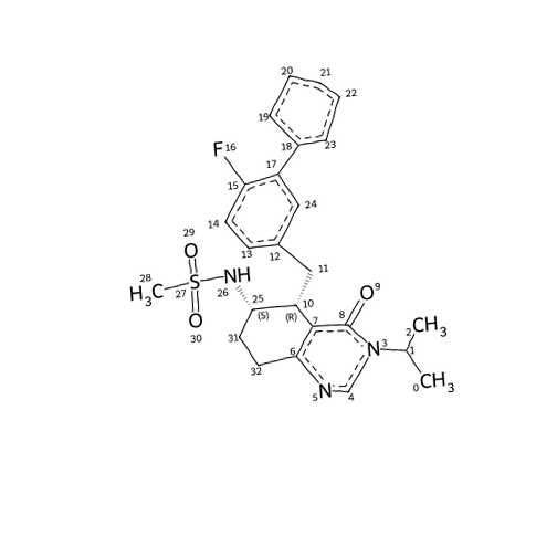 CC(C)n1cnc2c(c1=O)[C@@H](Cc1ccc(F)c(-c3ccccc3)c1)[C@@H](NS(C)(=O)=O)CC2